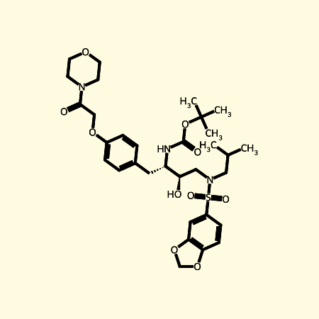 CC(C)CN(C[C@@H](O)[C@H](Cc1ccc(OCC(=O)N2CCOCC2)cc1)NC(=O)OC(C)(C)C)S(=O)(=O)c1ccc2c(c1)OCO2